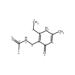 CCc1[nH]c(C)cc(=O)c1CNC(=O)I